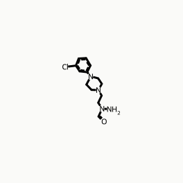 NN(C=O)CCN1CCN(c2cccc(Cl)c2)CC1